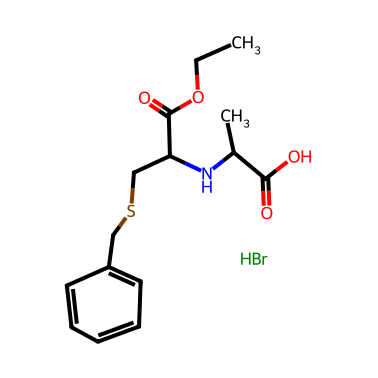 Br.CCOC(=O)C(CSCc1ccccc1)NC(C)C(=O)O